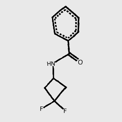 O=C(NC1CC(F)(F)C1)c1ccccc1